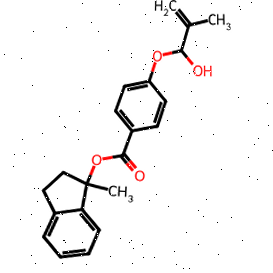 C=C(C)C(O)Oc1ccc(C(=O)OC2(C)CCc3ccccc32)cc1